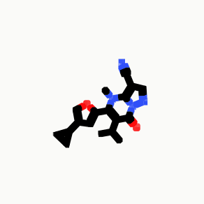 CC(C)c1c(-c2cc(C3CC3)co2)n(C)c2c(C#N)cnn2c1=O